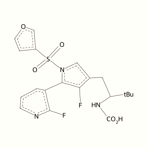 CC(C)(C)C(Cc1cn(S(=O)(=O)c2ccoc2)c(-c2cccnc2F)c1F)NC(=O)O